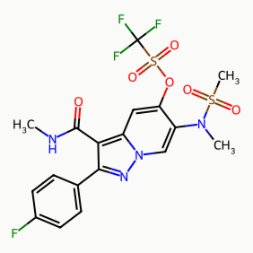 CNC(=O)c1c(-c2ccc(F)cc2)nn2cc(N(C)S(C)(=O)=O)c(OS(=O)(=O)C(F)(F)F)cc12